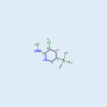 FC(F)(F)c1cnc(NCl)c(Cl)c1